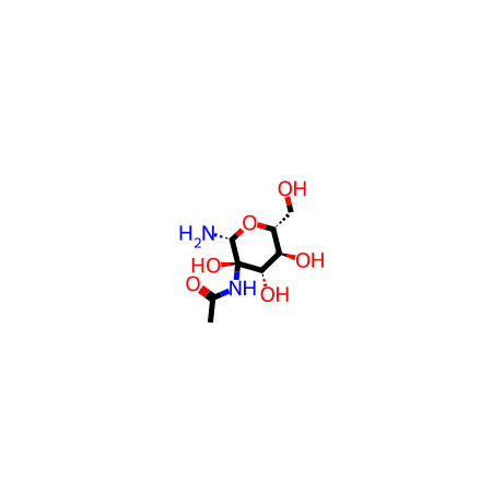 CC(=O)N[C@]1(O)[C@H](N)O[C@H](CO)[C@@H](O)[C@@H]1O